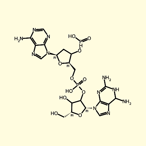 NC1=Nc2c(ncn2[C@@H]2O[C@H](CO)C(O)C2OP(=O)(O)OC[C@H]2O[C@@H](n3cnc4c(N)ncnc43)CC2O[PH](=O)O)C(N)N1